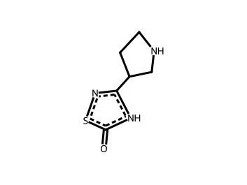 O=c1[nH]c(C2CCNC2)ns1